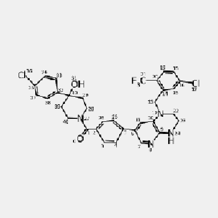 O=C(c1ccc(-c2cnc3c(c2)N(Cc2cc(Cl)ccc2C(F)(F)F)CCN3)cc1)N1CCC(O)(c2ccc(Cl)cc2)CC1